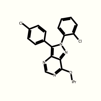 CC(C)Oc1ncnc2c(-c3ccc(Cl)cc3)n(-c3ccccc3Cl)nc12